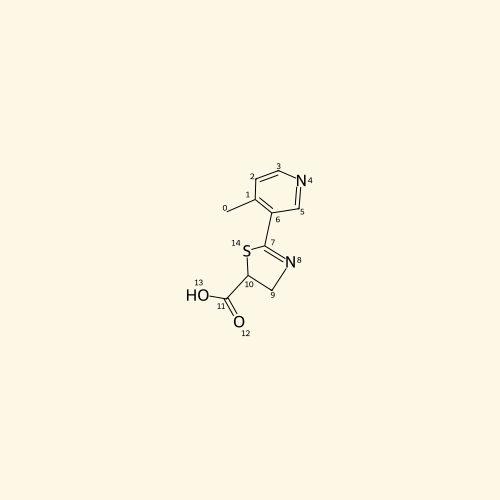 Cc1ccncc1C1=NCC(C(=O)O)S1